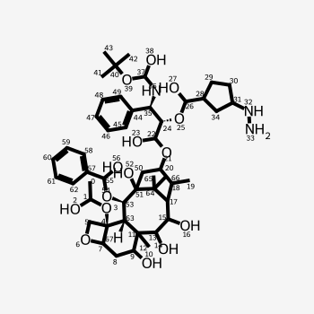 CC(O)O[C@]12COC1CC(O)C1(C)C(O)C(O)C3C(C)C(OC(O)[C@@H](OC(O)C4CCC(NN)C4)[C@H](NC(O)OC(C)(C)C)c4ccccc4)CC(O)([C@H](OC(O)c4ccccc4)[C@H]12)C3(C)C